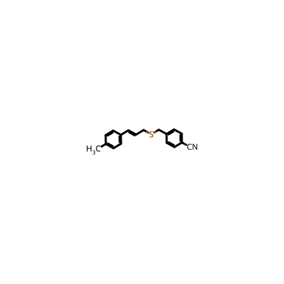 Cc1ccc(C=CCSCc2ccc(C#N)cc2)cc1